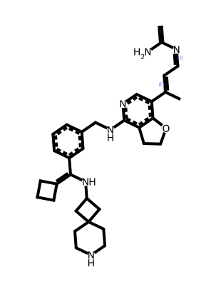 C=C(N)/N=C\C=C(/C)c1cnc(NCc2cccc(C(NC3CC4(CCNCC4)C3)=C3CCC3)c2)c2c1OCC2